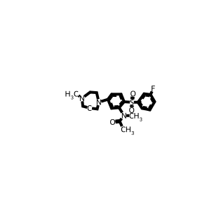 CC(=O)N(C)c1cc(N2CCCN(C)CC2)ccc1S(=O)(=O)c1cccc(F)c1